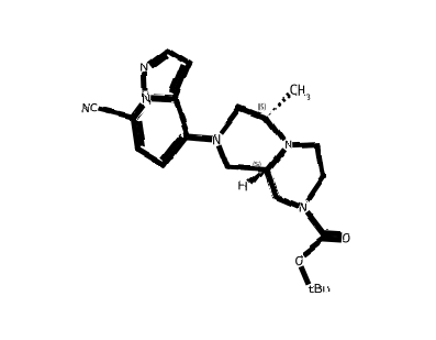 C[C@H]1CN(c2ccc(C#N)n3nccc23)C[C@H]2CN(C(=O)OC(C)(C)C)CCN21